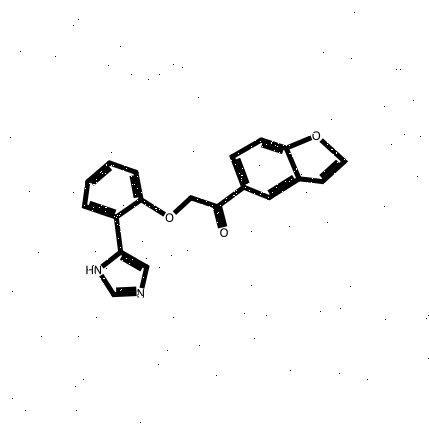 O=C(COc1ccccc1-c1cnc[nH]1)c1ccc2occc2c1